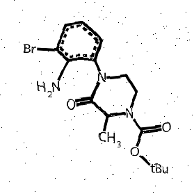 CC1C(=O)N(c2cccc(Br)c2N)CCN1C(=O)OC(C)(C)C